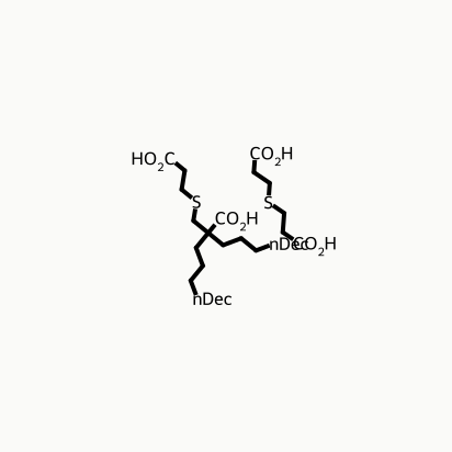 CCCCCCCCCCCCCC(CCCCCCCCCCCCC)(CSCCC(=O)O)C(=O)O.O=C(O)CCSCCC(=O)O